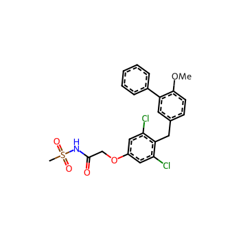 COc1ccc(Cc2c(Cl)cc(OCC(=O)NS(C)(=O)=O)cc2Cl)cc1-c1ccccc1